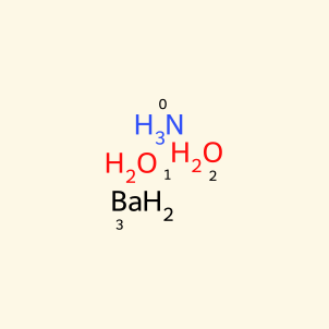 N.O.O.[BaH2]